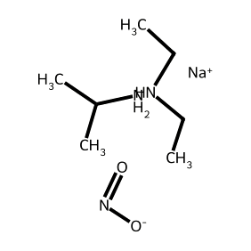 CC(C)N.CCNCC.O=N[O-].[Na+]